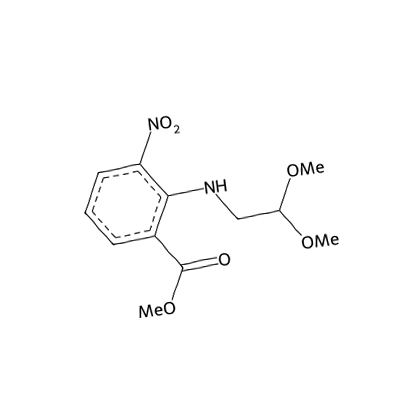 COC(=O)c1cccc([N+](=O)[O-])c1NCC(OC)OC